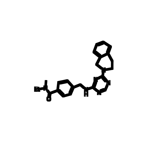 CCN(C)C(=O)c1ccc(CNc2ncnc(N3CCc4ccccc4C3)n2)cc1